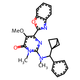 COc1c(-c2nc3ccccc3o2)nc(N(C)C(c2ccccc2)C23CC(C2)C3)n(C)c1=O